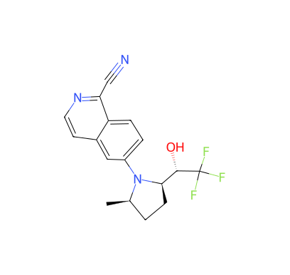 C[C@@H]1CC[C@H]([C@H](O)C(F)(F)F)N1c1ccc2c(C#N)nccc2c1